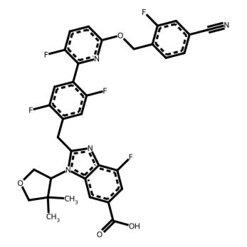 CC1(C)COCC1n1c(Cc2cc(F)c(-c3nc(OCc4ccc(C#N)cc4F)ccc3F)cc2F)nc2c(F)cc(C(=O)O)cc21